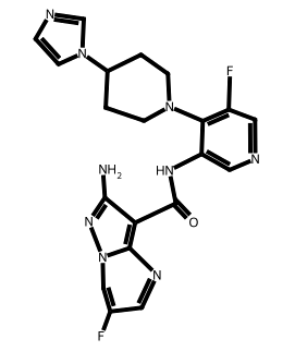 Nc1nn2cc(F)cnc2c1C(=O)Nc1cncc(F)c1N1CCC(n2ccnc2)CC1